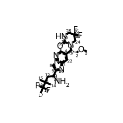 COC[C@H](c1cnn2cc([C@@H](N)CC(C)(C)C(C)(F)F)nc2c1)N1CC(F)(F)CNC1=O